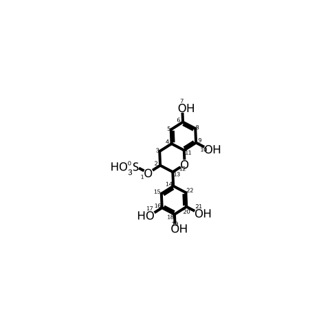 O=S(=O)(O)OC1Cc2cc(O)cc(O)c2OC1c1cc(O)c(O)c(O)c1